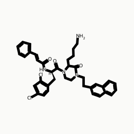 NCCCCC1C(=O)N(CCc2ccc3ccccc3c2)CCN1C(=O)[C@@H](Cc1ccc(Cl)cc1Cl)NC(=O)C=Cc1ccccc1